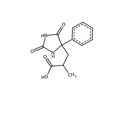 CC(CC1(c2ccccc2)NC(=O)NC1=O)C(=O)O